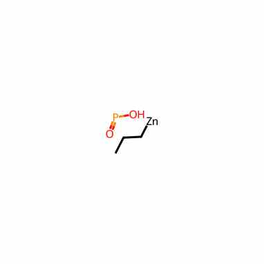 CC[CH2][Zn].O=PO